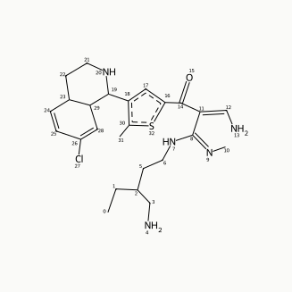 CCC(CN)CCNC(=N/C)/C(=C\N)C(=O)c1cc(C2NCCC3C=CC(Cl)=CC32)c(C)s1